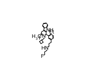 CCc1ccc(CCCNCCCF)cc1C1c2[nH]c3ccccc3c2C[C@@H](C)N1CC1(F)CCC1